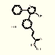 Cl.Cn1cnc(-c2ccccc2)c1-c1cccc(C=CC(=O)NO)c1